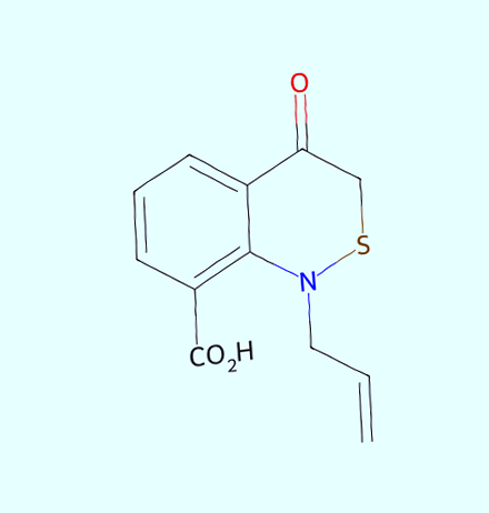 C=CCN1SCC(=O)c2cccc(C(=O)O)c21